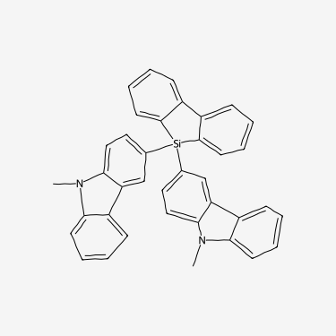 Cn1c2ccccc2c2cc([Si]3(c4ccc5c(c4)c4ccccc4n5C)c4ccccc4-c4ccccc43)ccc21